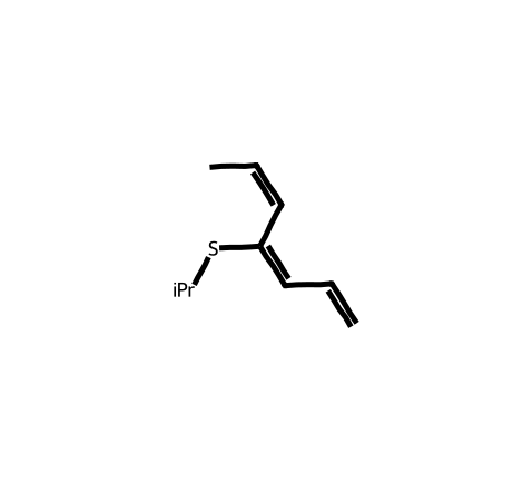 C=C/C=C(\C=C/C)SC(C)C